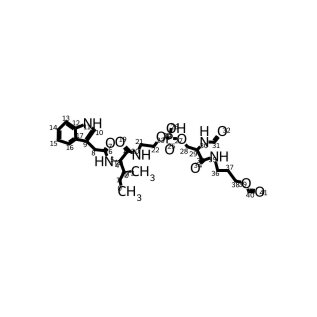 CC[C@H](C)[C@H](NC(=O)Cc1c[nH]c2ccccc12)C(=O)NCCOP(=O)(O)OCC(NC=O)C(=O)NCCCOC=O